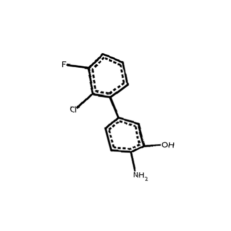 Nc1ccc(-c2cccc(F)c2Cl)cc1O